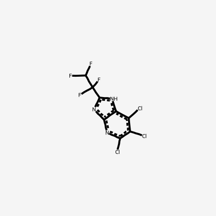 FC(F)C(F)(F)c1nc2nc(Cl)c(Cl)c(Cl)c2[nH]1